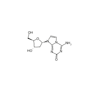 Nc1nc(=O)nc2n([C@H]3C[C@H](O)[C@@H](CO)O3)ccn12